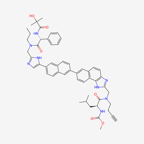 C#CCCN(Cc1nc2ccc3cc(-c4ccc5cc(-c6cnc(CN(CCC)C(=O)[C@H](NC(=O)C(C)(C)O)c7ccccc7)[nH]6)ccc5c4)ccc3c2[nH]1)C(=O)[C@H](CC(C)C)NC(=O)OC